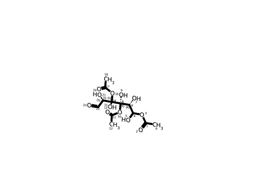 CC(=O)OC(O)[C@@H](O)[C@@](O)(OC(C)=O)[C@@](O)(OC(C)=O)[C@@H](O)C=O